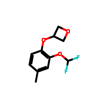 Cc1ccc(OC2COC2)c(OC(F)F)c1